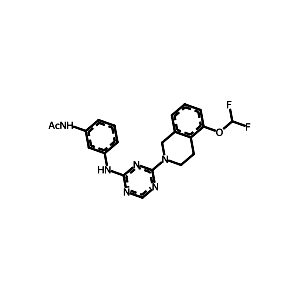 CC(=O)Nc1cccc(Nc2ncnc(N3CCc4c(cccc4OC(F)F)C3)n2)c1